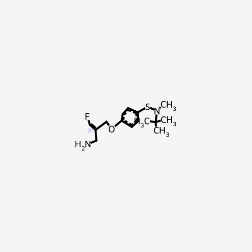 CN(Sc1ccc(OC/C(=C\F)CN)cc1)C(C)(C)C